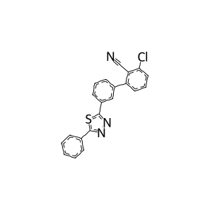 N#Cc1c(Cl)cccc1-c1cccc(-c2nnc(-c3ccccc3)s2)c1